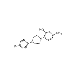 Nc1ccc(N2CCN(c3ncc(F)cn3)CC2)c(O)c1